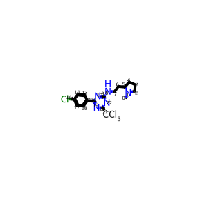 CN1CCCC1CCNc1nc(-c2ccc(Cl)cc2)nc(C(Cl)(Cl)Cl)n1